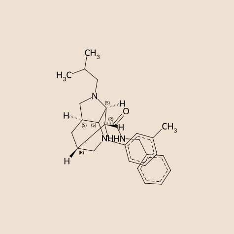 Cc1cccc(C[C@@H]2[C@@H]3CN[C@@]4(C(=O)NCc5ccccc5)[C@@H](C3)CN(CC(C)C)[C@@H]24)c1